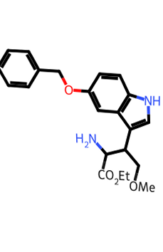 CCOC(=O)C(N)C(COC)c1c[nH]c2ccc(OCc3ccccc3)cc12